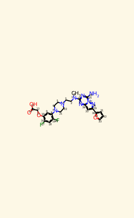 CN(CCN1CCN(c2cc(OCC(=O)O)c(F)cc2F)CC1)c1nc(N)n2nc(-c3ccco3)cc2n1